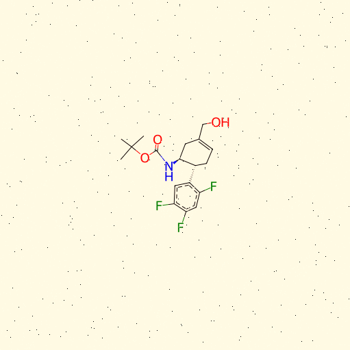 CC(C)(C)OC(=O)N[C@H]1CC(CO)=CC[C@@H]1c1cc(F)c(F)cc1F